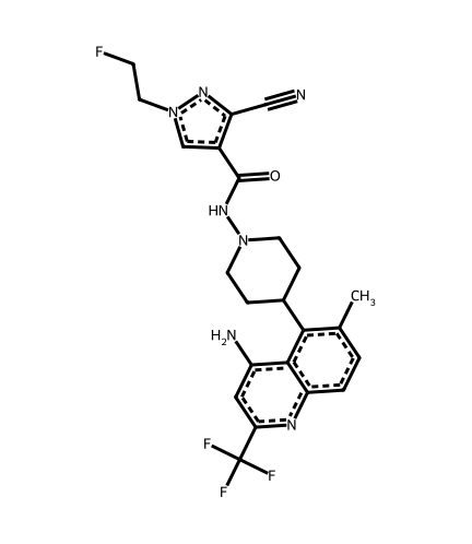 Cc1ccc2nc(C(F)(F)F)cc(N)c2c1C1CCN(NC(=O)c2cn(CCF)nc2C#N)CC1